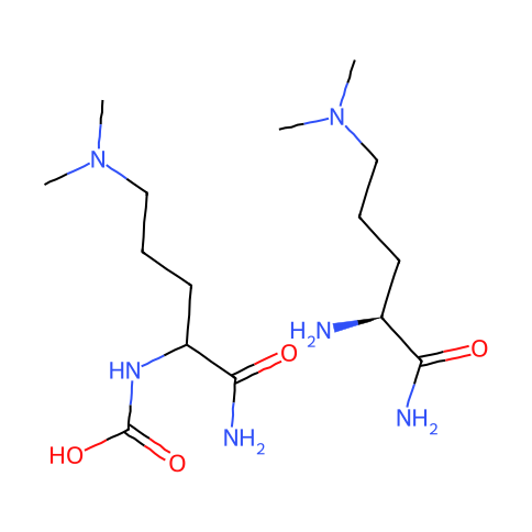 CN(C)CCCC(NC(=O)O)C(N)=O.CN(C)CCC[C@H](N)C(N)=O